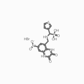 Br.O=c1[nH]c2cc([N+](=O)[O-])cc(CNC(c3ccsc3)P(=O)(O)O)c2[nH]c1=O